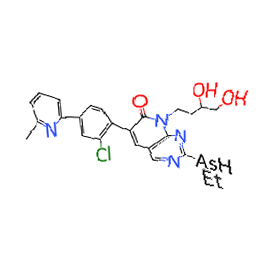 CC[AsH]c1ncc2cc(-c3ccc(-c4cccc(C)n4)cc3Cl)c(=O)n(CCC(O)CO)c2n1